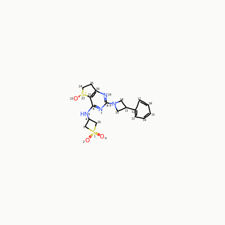 O=S1(=O)CC(Nc2nc(N3CC(c4ccccc4)C3)nc3c2[S+]([O-])CC3)C1